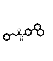 O=C(CCc1ccccc1)Nc1ccc(-c2cccc3c2C=CCC3)cc1